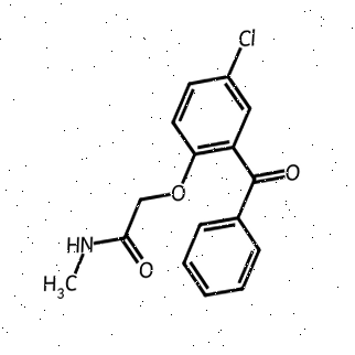 CNC(=O)COc1ccc(Cl)cc1C(=O)c1ccccc1